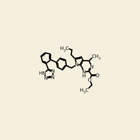 CCCc1cc2c(n1Cc1ccc(-c3ccccc3-c3nnn[nH]3)cc1)NC(C(=O)OCC)=NC2C